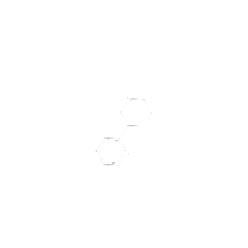 CCN1CCOC(c2ccccn2)C1